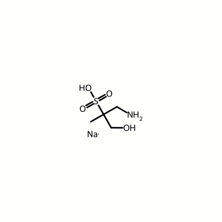 CC(CN)(CO)S(=O)(=O)O.[Na]